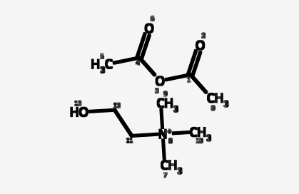 CC(=O)OC(C)=O.C[N+](C)(C)CCO